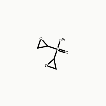 CCCP(=O)(C1CO1)C1CO1